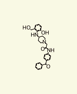 O=C(CN1CCC(Nc2c(O)cccc2CO)CC1)Nc1ccc(C(=O)c2ccccc2)cc1